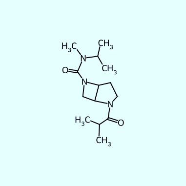 CC(C)C(=O)N1CCC2C1CN2C(=O)N(C)C(C)C